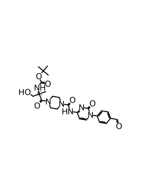 CC(C)(C)OC(=O)N[C@@](C)(CO)C(=O)N1CCN(C(=O)Nc2ccn(-c3ccc(C=O)cc3)c(=O)n2)CC1